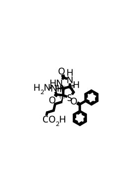 NNC(=O)[C@@]1(CCCCC(=O)O)SC[C@@H]2NC(=O)N[C@@H]21.O=C(c1ccccc1)c1ccccc1